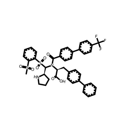 CS(=O)(=O)c1ccccc1S(=O)(=O)C([C@H]1CCCN1)N(C(=O)c1ccc(-c2ccc(C(F)(F)F)cc2)cc1)[C@@H](Cc1ccc(-c2ccccc2)cc1)C(=O)O